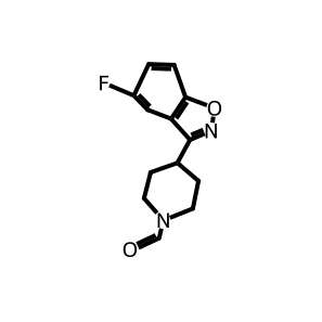 O=CN1CCC(c2noc3ccc(F)cc23)CC1